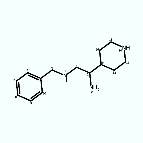 NC(CNCc1ccccc1)C1CCNCC1